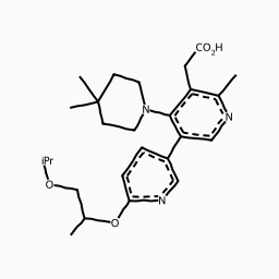 Cc1ncc(-c2ccc(OC(C)COC(C)C)nc2)c(N2CCC(C)(C)CC2)c1CC(=O)O